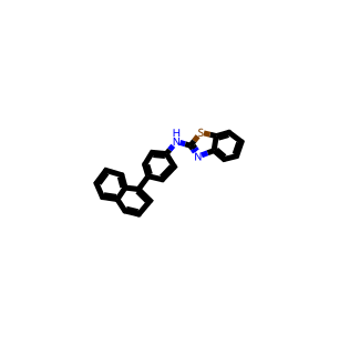 c1ccc2c(-c3ccc(Nc4nc5ccccc5s4)cc3)cccc2c1